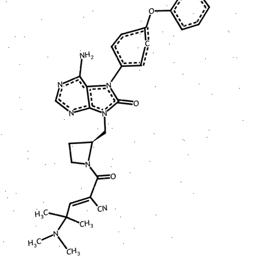 CN(C)C(C)(C)C=C(C#N)C(=O)N1CC[C@H]1Cn1c(=O)n(-c2ccc(Oc3ccccc3)cc2)c2c(N)ncnc21